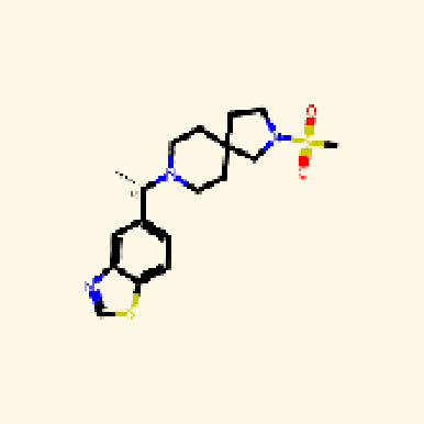 C[C@@H](c1ccc2scnc2c1)N1CCC2(CC1)CCN(S(C)(=O)=O)C2